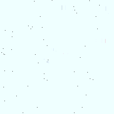 C=C(C)C(O)CO[Si](c1ccccc1)(c1ccccc1)C(C)(C)C